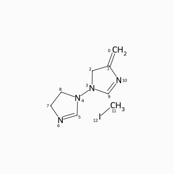 C=C1CN(N2C=NCC2)C=N1.CI